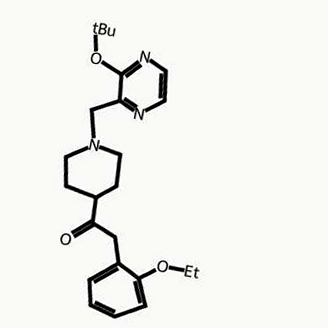 CCOc1ccccc1CC(=O)C1CCN(Cc2nccnc2OC(C)(C)C)CC1